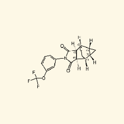 O=C1[C@@H]2[C@@H]3CC[C@@H]([C@@H]4C[C@@H]43)[C@@H]2C(=O)N1c1cccc(OC(F)(F)F)c1